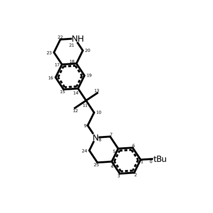 CC(C)(C)c1ccc2c(c1)CN(CCC(C)(C)c1ccc3c(c1)CNCC3)CC2